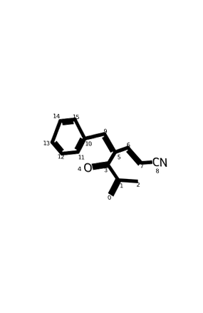 C=C(C)C(=O)C(C=CC#N)=Cc1ccccc1